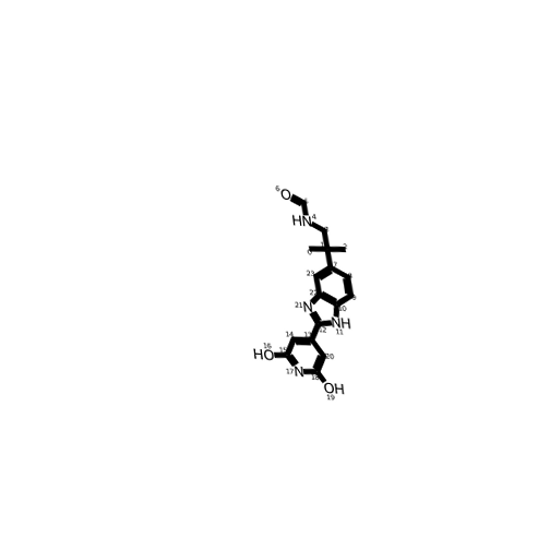 CC(C)(CNC=O)c1ccc2[nH]c(-c3cc(O)nc(O)c3)nc2c1